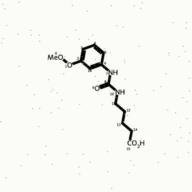 COOc1cccc(NC(=O)NCCCCC(=O)O)c1